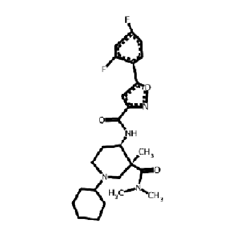 CN(C)C(=O)[C@]1(C)CN(C2CCCCC2)CC[C@H]1NC(=O)c1cc(-c2ccc(F)cc2F)on1